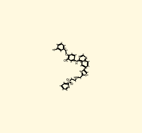 O=S(=O)(CCNCc1nc(-c2ccc3ncnc(Nc4ccc(OCc5cccc(F)c5)c(Cl)c4)c3c2)cs1)c1ccccn1